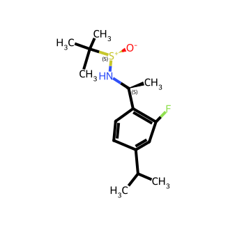 CC(C)c1ccc([C@H](C)N[S@+]([O-])C(C)(C)C)c(F)c1